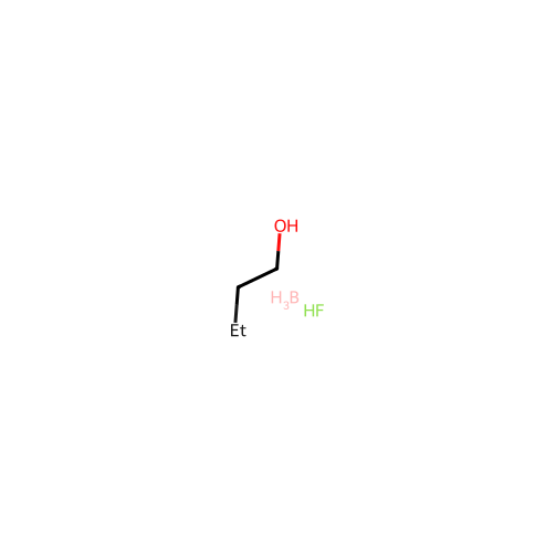 B.CCCCO.F